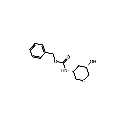 O=C(N[C@H]1COC[C@@H](O)C1)OCc1ccccc1